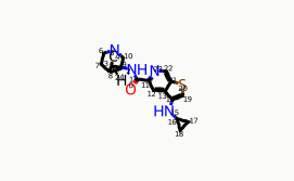 O=C(N[C@H]1CN2CCC1CC2)c1cc2c(NC3CC3)csc2cn1